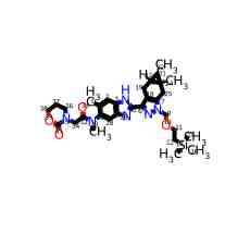 Cc1cc2[nH]c(-c3nn(COCC[Si](C)(C)C)c4c3C[C@@H]3[C@H](C)[C@]3(C)C4)nc2cc1N(C)C(=O)CN1CCCOC1=O